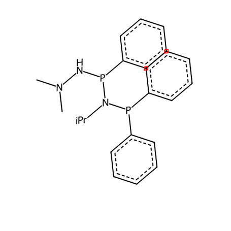 CC(C)N(P(NN(C)C)c1ccccc1)P(c1ccccc1)c1ccccc1